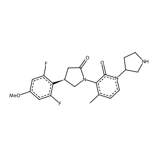 COc1cc(F)c([C@H]2CC(=O)N(c3c(C)ccn(C4CCNC4)c3=O)C2)c(F)c1